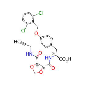 C#CCNC(=O)[C@@H]1OCO[C@H]1C(=O)N[C@@H](Cc1ccc(OCc2c(Cl)cccc2Cl)cc1)C(=O)O